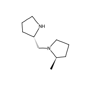 C[C@@H]1CCCN1C[C@@H]1CCCN1